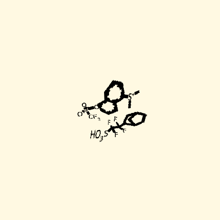 C[S+](C)c1cccc2ccccc12.O=S(=O)(O)C(F)(F)C(F)(F)C1CC2CCC1C2.O=S(=O)([O-])C(F)(F)F